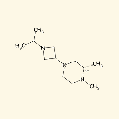 CC(C)N1CC(N2CCN(C)[C@@H](C)C2)C1